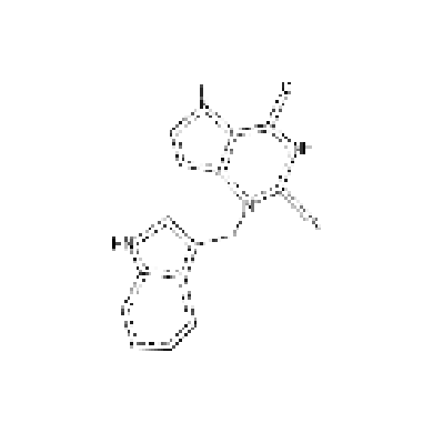 O=c1[nH]c(=S)n(Cc2c[nH]c3ccccc23)c2cc[nH]c12